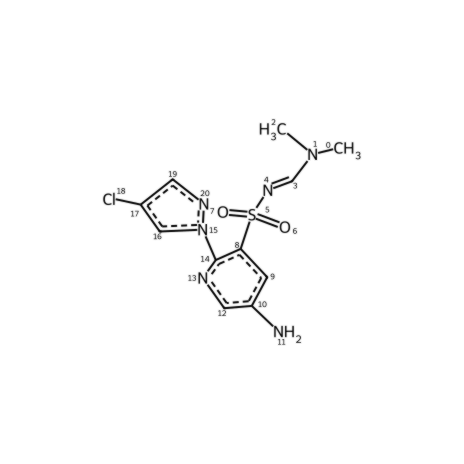 CN(C)C=NS(=O)(=O)c1cc(N)cnc1-n1cc(Cl)cn1